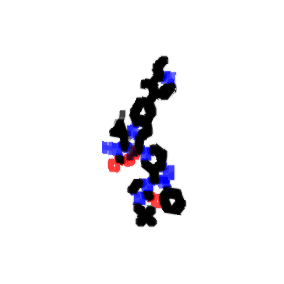 CCc1nccc(-c2ccc3c(c2)cc(C(=O)N2CCc4nn(-c5ccccc5)c(N5CCN(CC(C)(C)C)C5=O)c4C2)n3[C@@]2(c3noc(=O)[nH]3)C[C@@H]2C)c1C